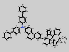 CC1(C)c2ccccc2C2(c3ccccc3-c3c(-c4ccc5c(ccc6cc(N(c7ccc(-c8ccccc8)cc7)c7ccc(-c8ccccc8)cc7)ccc65)c4)cccc32)c2ccccc21